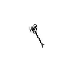 O=c1ccn(OCCCCCCCCCCF)c(=O)[nH]1